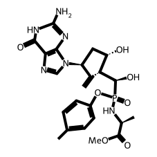 C=C1[C@@H]([C@@H](O)P(=O)(N[C@@H](C)C(=O)OC)Oc2ccc(C)cc2)[C@@H](O)C[C@@H]1n1cnc2c(=O)[nH]c(N)nc21